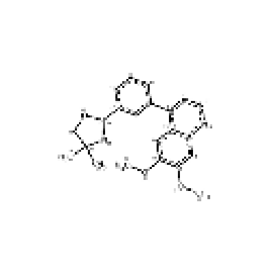 COc1cc2nncc(-c3cccc(C4=NC(C)(C)CO4)c3)c2cc1OC